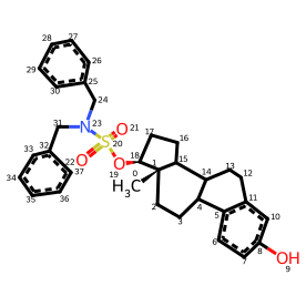 C[C@]12CCC3c4ccc(O)cc4CCC3C1CC[C@@H]2OS(=O)(=O)N(Cc1ccccc1)Cc1ccccc1